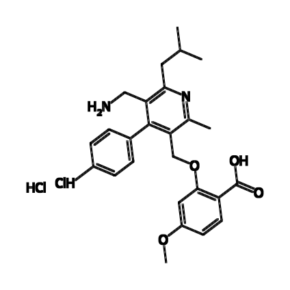 COc1ccc(C(=O)O)c(OCc2c(C)nc(CC(C)C)c(CN)c2-c2ccc(C)cc2)c1.Cl.Cl